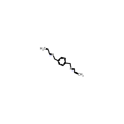 C=C/C=N/Cc1ccc(C/N=C/C=C)cc1